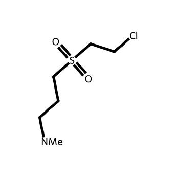 CNCCCS(=O)(=O)CCCl